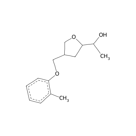 Cc1ccccc1OCC1COC(C(C)O)C1